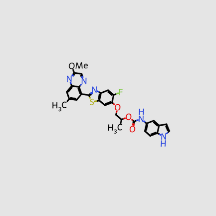 COc1cnc2c(-c3nc4cc(F)c(OCC(C)OC(=O)Nc5ccc6[nH]ccc6c5)cc4s3)cc(C)cc2n1